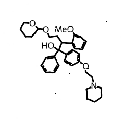 COc1ccccc1C(CCOC1CCCCO1)C(O)(c1ccccc1)c1ccc(OCCN2CCCCC2)cc1